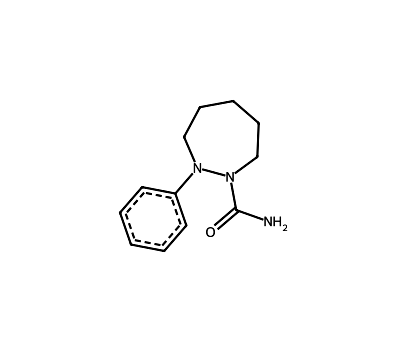 NC(=O)N1CCCCCN1c1ccccc1